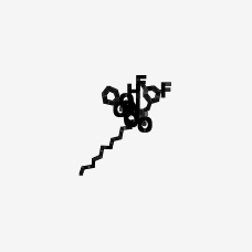 CCCCCCCCCCCOC(=O)[C@H](Cc1cc(F)cc(F)c1)NP(=O)(Cl)Oc1ccccc1